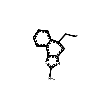 Nc1nc2cc(CF)c3ccccc3c2o1